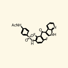 CC(=O)Nc1ccc(S(=O)(=O)Nc2ccc(F)c(C(=O)c3c[nH]c4ncccc34)c2F)cc1